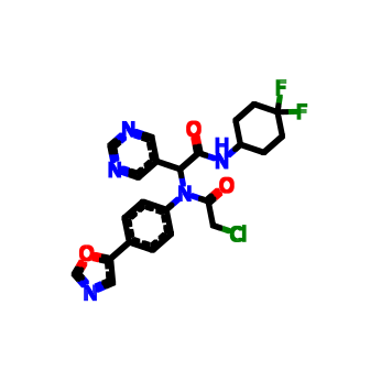 O=C(NC1CCC(F)(F)CC1)C(c1cncnc1)N(C(=O)CCl)c1ccc(-c2cnco2)cc1